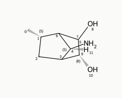 C[C@H]1CC2[C@H](N)C1C(O)[C@@H]2O